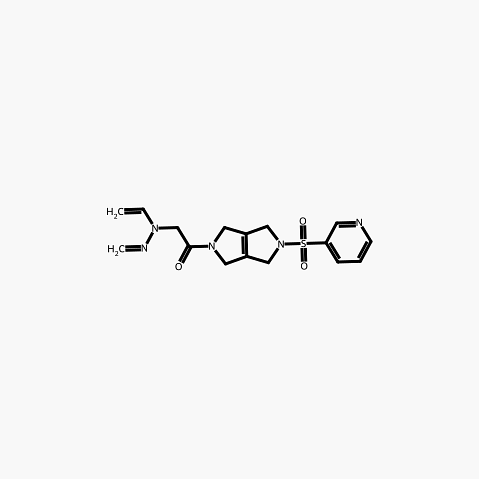 C=CN(CC(=O)N1CC2=C(C1)CN(S(=O)(=O)c1cccnc1)C2)N=C